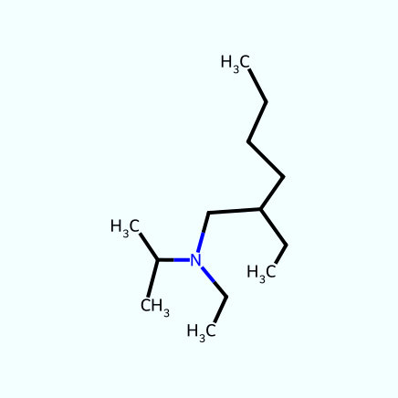 CCCCC(CC)CN(CC)C(C)C